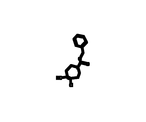 N#CC1=C(Cl)CCN(C(=O)OCc2ccccc2)CC1